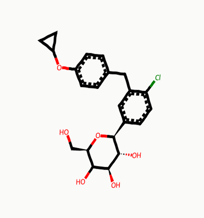 OC[C@H]1O[C@@H](c2ccc(Cl)c(Cc3ccc(OC4CC4)cc3)c2)[C@H](O)[C@@H](O)C1O